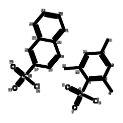 Cc1cc(C)c(S(=O)(=O)Cl)c(C)c1.O=S(=O)(Cl)c1ccc2ccccc2c1